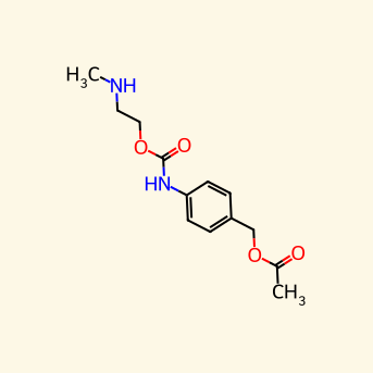 CNCCOC(=O)Nc1ccc(COC(C)=O)cc1